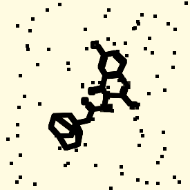 CC(C)c1nc2ccc(Cl)cc2c(=O)n1NC(=O)CC12CC3CC(CC(C3)C1)C2